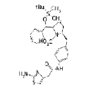 CC(C)(C)[Si](C)(C)OC(c1ccccc1)[C@H]1CC[C@@H](Cc2ccc(NC(=O)Cc3csc(N)n3)cc2)N1C(=O)O